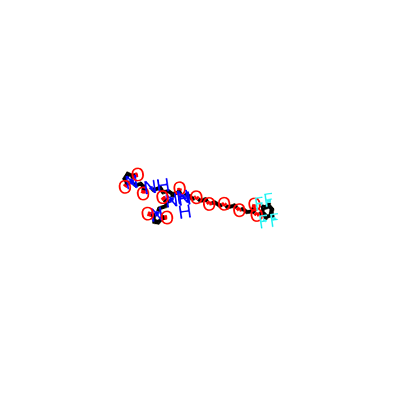 O=C(CCN1C(=O)C=CC1=O)NCCCCC(NC(=O)CCN1C(=O)C=CC1=O)C(=O)NCCOCCOCCOCCOCCC(=O)Oc1c(F)c(F)cc(F)c1F